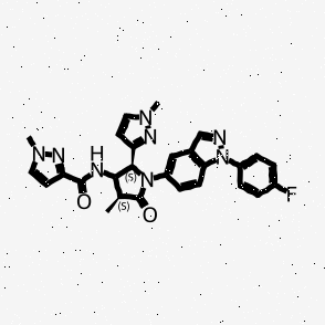 C[C@@H]1C(=O)N(c2ccc3c(cnn3-c3ccc(F)cc3)c2)[C@H](c2ccn(C)n2)C1NC(=O)c1ccn(C)n1